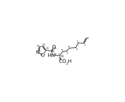 C=CCCCCC[C@H](NC(=O)c1ccno1)C(=O)O